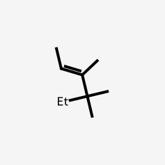 CC=C(C)C(C)(C)CC